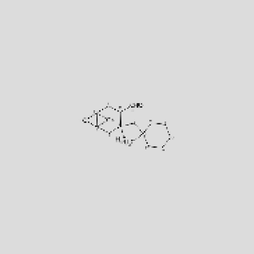 CC1(CC2(C)CC34OC3(CC2[C]=O)O4)CCCCC1